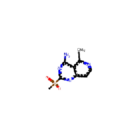 COc1nccc2nc(S(C)(=O)=O)nc(N)c12